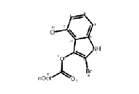 CCCCCCCCC(=O)Oc1c(Br)[nH]c2cccc(Cl)c12